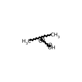 CCCCCCCCC(CCCCCCCC)C(=O)OCCCCCC(=O)O